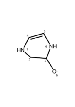 [O]C1CNC=CN1